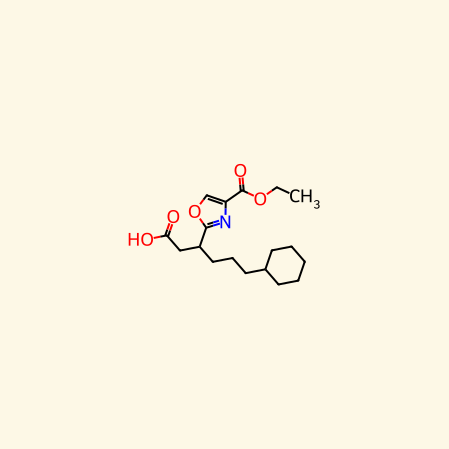 CCOC(=O)c1coc(C(CCCC2CCCCC2)CC(=O)O)n1